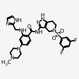 CN1CCN(c2ccc(C(=O)Nc3n[nH]c4c3CN(S(=O)(=O)c3cc(F)cc(F)c3)CC4)c(NCc3ncc[nH]3)c2)CC1